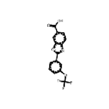 O=C(O)c1ccc2nc(-c3cccc(OC(F)(F)F)c3)oc2c1